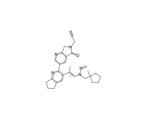 C#CCN1Cc2ncc(-c3nc4c(cc3/C(C)=C/N(CC3(C)CCCC3)N=C)CCC4)cc2C1=O